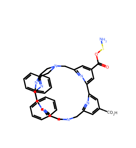 NSOC(=O)c1cc2nc(c1)-c1cc(C(=O)O)cc(n1)CN1Cc3cccc(n3)-c3cccc(n3)CN(Cc3cccc(n3)-c3cccc(n3)C1)C2